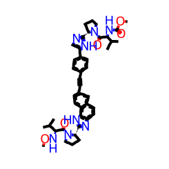 CON[C@H](C(=O)N1CCC[C@H]1c1nc2ccc3cc(C#Cc4ccc(-c5cnc([C@@H]6CCCN6C(=O)C(NC(=O)OC)C(C)C)[nH]5)cc4)ccc3c2[nH]1)C(C)C